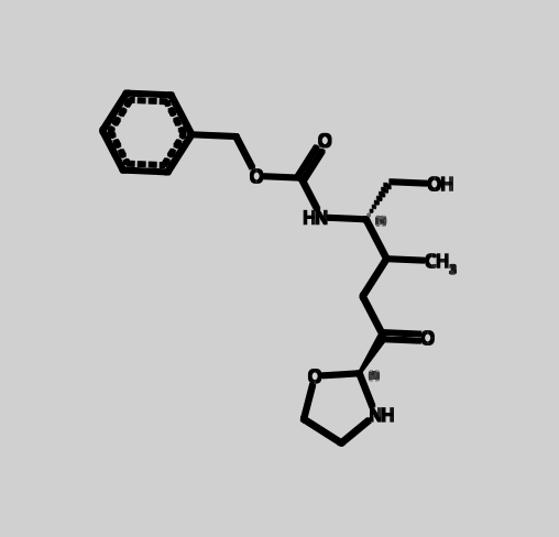 CC(CC(=O)[C@H]1NCCO1)[C@@H](CO)NC(=O)OCc1ccccc1